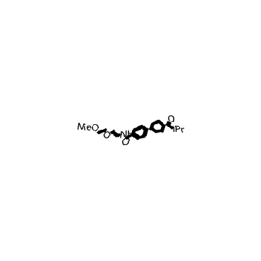 COCCOCCNC(=O)c1ccc([C@H]2CC[C@H](C(=O)C(C)C)CC2)cc1